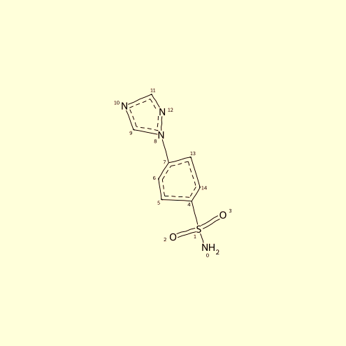 NS(=O)(=O)c1ccc(-n2cncn2)cc1